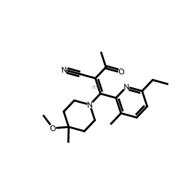 CCc1ccc(C)c(/C(=C(/C#N)C(C)=O)N2CCC(C)(OC)CC2)n1